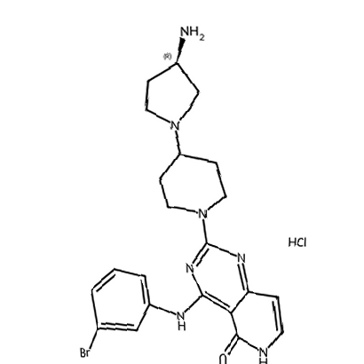 Cl.N[C@@H]1CCN(C2CCN(c3nc(Nc4cccc(Br)c4)c4c(=O)[nH]ccc4n3)CC2)C1